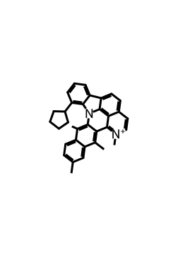 Cc1ccc2c(C)c3c(c(C)c2c1)c1c2c(ccc4c5cccc(C6CCCC6)c5n3c42)cc[n+]1C